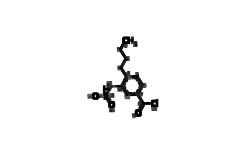 CCCCc1ccc(C(=O)Cl)cc1C[SH](=O)=O